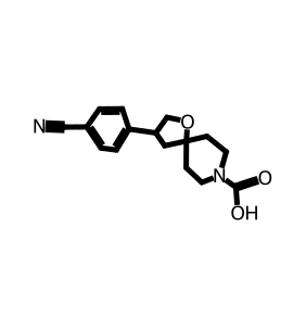 N#Cc1ccc(C2COC3(CCN(C(=O)O)CC3)C2)cc1